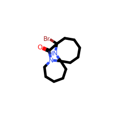 O=C1N2CCCCCC23CCCCCC1(Br)N3